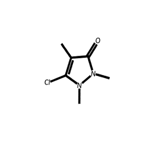 Cc1c(Cl)n(C)n(C)c1=O